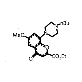 CCCCN1CCN(c2cc(OC)cc3c(=O)cc(C(=O)OCC)oc23)CC1